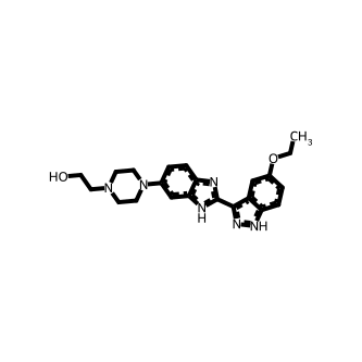 CCOc1ccc2[nH]nc(-c3nc4ccc(N5CCN(CCO)CC5)cc4[nH]3)c2c1